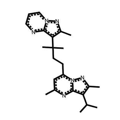 Cc1cc(CCC(C)(C)c2c(C)nn3cccnc23)n2nc(C)c(C(C)C)c2n1